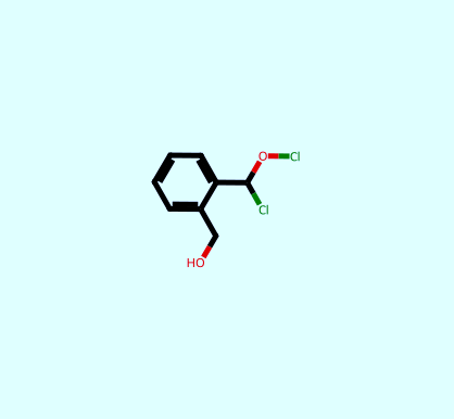 OCc1ccccc1C(Cl)OCl